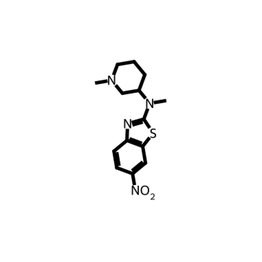 CN1CCCC(N(C)c2nc3ccc([N+](=O)[O-])cc3s2)C1